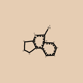 CCc1nc2c(c3ccccc13)CCC2